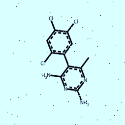 Cc1nc(N)nc(N)c1-c1cc(Cl)c(Cl)cc1Cl